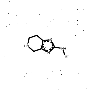 CC(C)Nc1nc2c(s1)CCNC2